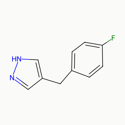 Fc1ccc(Cc2cn[nH]c2)cc1